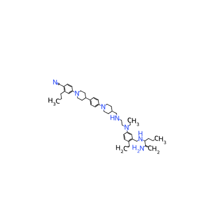 C=Cc1ccc(N(CC)CCNCC2CCN(c3ccc(C4CCN(c5ccc(C#N)c(CCC)c5)CC4)cc3)CC2)cc1CNC(CCC)C(=C)N